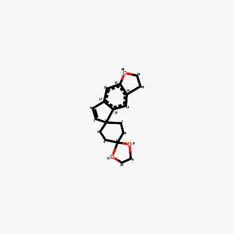 C1=CC2(CCC3(CC2)OCCO3)c2cc3c(cc21)OCC3